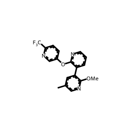 COc1ncc(C)cc1-c1cccnc1Oc1ccc(C(F)(F)F)nc1